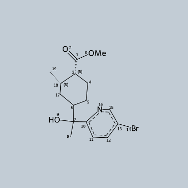 COC(=O)[C@@H]1CCC(C(C)(O)c2ccc(Br)cn2)C[C@@H]1C